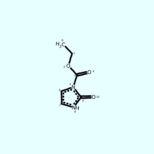 CCOC(=O)n1cc[nH]c1=O